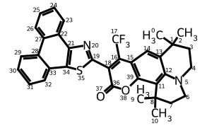 CC1(C)CCN2CCC(C)(C)c3c2c1cc1c(C(F)(F)F)c(-c2nc4c5ccccc5c5ccccc5c4s2)c(=O)oc31